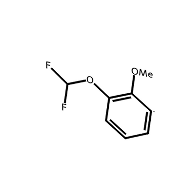 COc1[c]cccc1OC(F)F